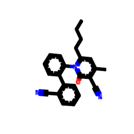 CCCCc1cc(C)c(C#N)c(=O)n1-c1ccccc1-c1ccccc1C#N